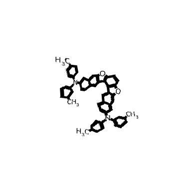 Cc1ccc(N(c2cccc(C)c2)c2ccc3cc4c(cc3c2)oc2ccc3oc5cc6cc(N(c7ccc(C)cc7)c7cccc(C)c7)ccc6cc5c3c24)cc1